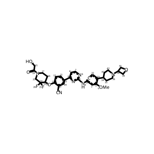 COc1cc(Nc2nccc(-c3ccc(OC4CCN(C(=O)CO)CC4(F)F)c(C#N)c3)n2)ccc1C1CCN(C2COC2)CC1